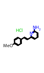 COc1ccc(C=Cc2cccc(N)n2)cc1.Cl